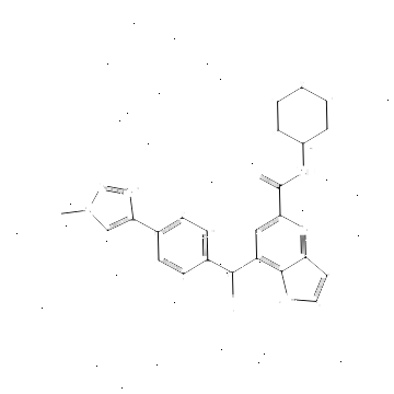 Cn1cc(-c2ccc(C(F)c3cc(C(=O)NC4CCCCC4)nc4ccoc34)cc2)nn1